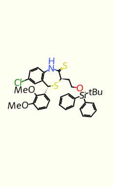 COc1cccc([C@H]2S[C@H](CCO[Si](c3ccccc3)(c3ccccc3)C(C)(C)C)C(=S)Nc3ccc(Cl)cc32)c1OC